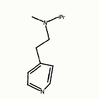 CC(C)N(C)CCc1ccncc1